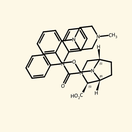 CN1CCN(c2ccccc2COCN2[C@H]3CC[C@@H]2[C@@H](C(=O)O)N(C(=O)N(c2ccccc2)c2ccccc2)C3)CC1